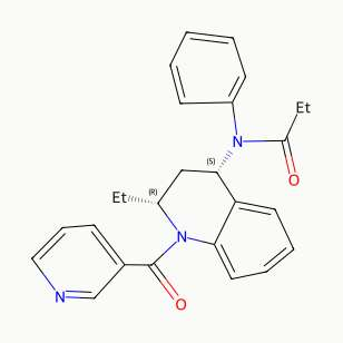 CCC(=O)N(c1ccccc1)[C@H]1C[C@@H](CC)N(C(=O)c2cccnc2)c2ccccc21